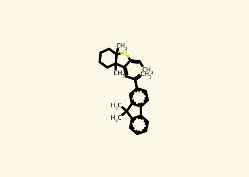 C=C(/C=C1\C(=C/C)SC2(C)CCCCC12C)c1ccc2c(c1)C(C)(C)c1ccccc1-2